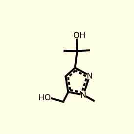 Cn1nc(C(C)(C)O)cc1CO